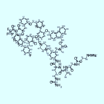 COc1ccccc1-c1nccc(COc2ccccc2C[C@@H](Oc2ncnc3sc(-c4ccc(F)cc4)c(-c4ccc(OCCN5CC[N+](C)(Cc6ccc(NC(=O)[C@H](CCCNC(N)=O)NC(=O)[C@@H](NC(=O)CNC(=O)OCCN=[N+]=[N-])C(C)C)cc6CN(C)C(=O)OCC6c7ccccc7-c7ccccc76)CC5)c(Cl)c4C)c23)C(=O)OC(=O)C(F)(F)F)n1